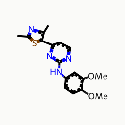 COc1ccc(Nc2nccc(-c3sc(C)nc3C)n2)cc1OC